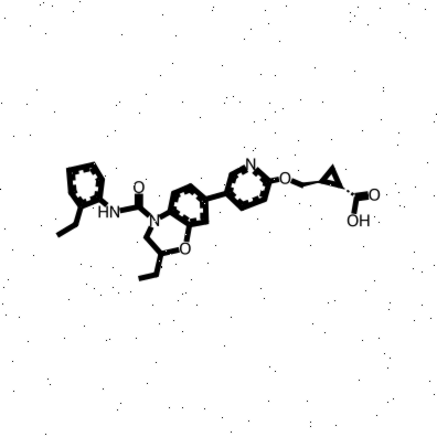 CCc1ccccc1NC(=O)N1CC(CC)Oc2cc(-c3ccc(OC[C@H]4C[C@@H]4C(=O)O)nc3)ccc21